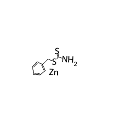 NC(=S)SCc1ccccc1.[Zn]